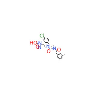 Cc1cc(C)cc(CC(=O)N2CCC2(C)C(=O)N(CCc2noc(O)n2)Cc2ccc(Cl)cc2)c1